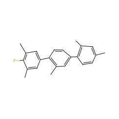 Cc1ccc(-c2ccc(-c3cc(C)c(F)c(C)c3)c(C)c2)c(C)c1